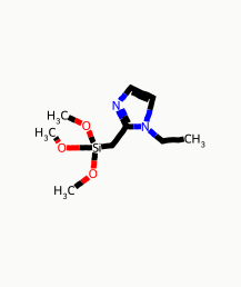 CCn1ccnc1C[Si](OC)(OC)OC